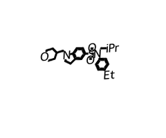 CCc1ccc(N(CC(C)C)S(=O)(=O)c2ccc3c(c2)CCN3CC2CCOCC2)cc1